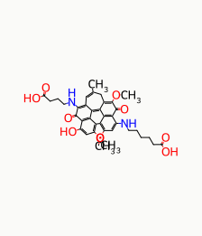 COc1c2c3c4c(c(NCCCC(=O)O)c(=O)c5c(O)cc(OC)c(c6c(OC)cc(NCCCCCC(=O)O)c(c1=O)c63)c54)C=C(C)C2